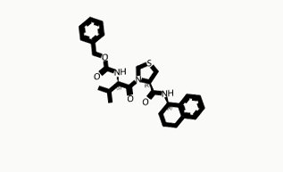 CC(C)[C@H](NC(=O)OCc1ccccc1)C(=O)N1CSC[C@H]1C(=O)N[C@@H]1CCCc2ccccc21